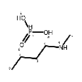 CCCCNC.O=[PH](O)O